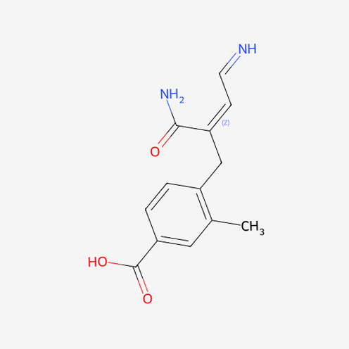 Cc1cc(C(=O)O)ccc1C/C(=C/C=N)C(N)=O